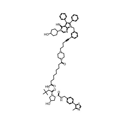 Cc1ncsc1-c1ccc(CNC(=O)[C@@H]2C[C@@H](O)CN2C(=O)[C@@H](NC(=O)CCCCCCCC(=O)N2CCN(CCCC#Cc3cccc(Cn4c(-c5ccccc5)c(-c5ccccc5)c5c(=N)n(C6CCC(O)CC6)cnc54)c3)CC2)C(C)(C)C)cc1